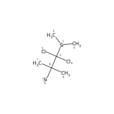 C[Si](C)C(Cl)(Cl)C(C)(C)[Si]